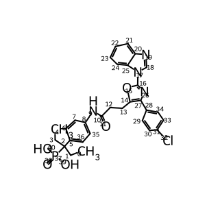 CCC(CC)(c1ccc(NC(=O)CCc2oc(-n3cnc4ccccc43)nc2-c2ccc(Cl)cc2)cc1)P(=O)(O)O